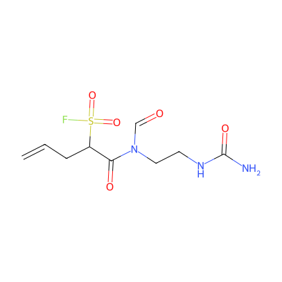 C=CCC(C(=O)N(C=O)CCNC(N)=O)S(=O)(=O)F